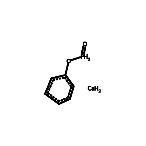 O=[PH2]Oc1ccccc1.[CaH2]